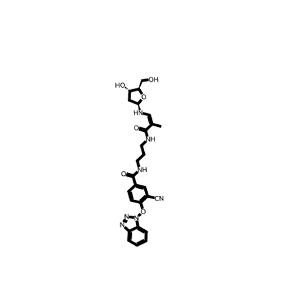 C/C(=C/N[C@H]1C[C@H](O)[C@@H](CO)O1)C(=O)NCCCNC(=O)c1ccc(On2nnc3ccccc32)c(C#N)c1